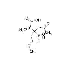 C=C(C(=O)O)C(CCOC)(CC(C)=O)C(=O)O